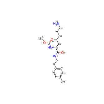 CC(C)c1ccc(CCNC(=O)[C@H](CCCCCN)NC(=O)OC(C)(C)C)cc1